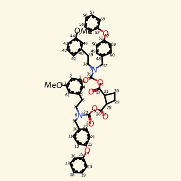 COc1cccc(CCN(Cc2ccc(Oc3ccccc3)cc2)C(=O)OC(=O)C2CCC2C(=O)OC(=O)N(CCc2cccc(OC)c2)Cc2ccc(Oc3ccccc3)cc2)c1